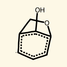 Oc1c2[c]ccc1OC2